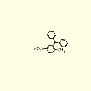 Cc1ccc(S(=O)(=O)O)cc1P(c1ccccc1)c1ccccc1